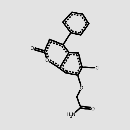 NC(=O)COc1cc2oc(=O)cc(-c3ccccc3)c2cc1Cl